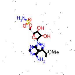 CO[C@H](C)c1nn([C@@H]2O[C@H](COS(N)(=O)=O)[C@@H](O)[C@H]2O)c2ncnc(N)c12